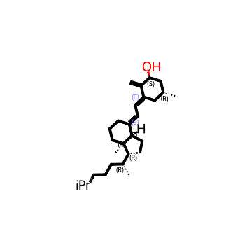 C=C1/C(=C/C=C2\CCC[C@]3(C)[C@@H]([C@H](C)CCCC(C)C)CC[C@@H]23)C[C@@H](C)C[C@@H]1O